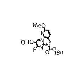 COc1ccc(CN(C(=O)OC(C)(C)C)c2ncc(C=O)c(F)n2)cn1